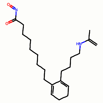 C=C(C)NCCCCC1=CCCC=C1CCCCCCCCC(=O)N=O